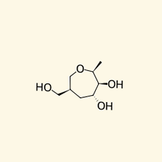 C[C@@H]1OC[C@H](CO)C[C@@H](O)[C@@H]1O